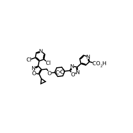 O=C(O)c1cc(-c2noc(C34CCC(OCc5c(-c6c(Cl)cncc6Cl)noc5C5CC5)(CC3)CC4)n2)ccn1